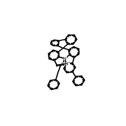 c1ccc(-c2cc[n+]3c(c2)-c2cccc4c2[N+]32c3c(cccc3C43c4ccccc4-c4ccccc43)-c3cc(-c4ccccc4)cc[n+]32)cc1